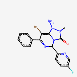 CN1C(=O)N2C(=C(Br)C(c3ccccc3)=NC2c2ccc(F)cn2)N1N